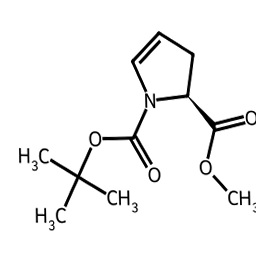 COC(=O)[C@@H]1CC=CN1C(=O)OC(C)(C)C